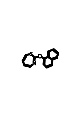 C1=CN=C(Oc2cccc3ccccc23)SC=C1